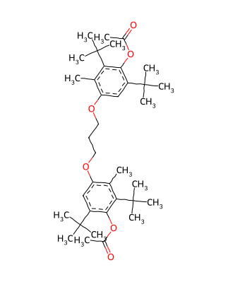 CC(=O)Oc1c(C(C)(C)C)cc(OCCCOc2cc(C(C)(C)C)c(OC(C)=O)c(C(C)(C)C)c2C)c(C)c1C(C)(C)C